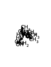 CCOC(=O)c1[nH]c(CNCCC(N)C(=O)O)c(-c2ccc(OC)c(OC)c2OC)c1Cl